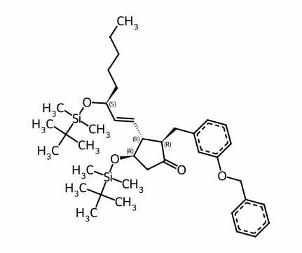 CCCCC[C@@H](C=C[C@H]1[C@H](O[Si](C)(C)C(C)(C)C)CC(=O)[C@@H]1Cc1cccc(OCc2ccccc2)c1)O[Si](C)(C)C(C)(C)C